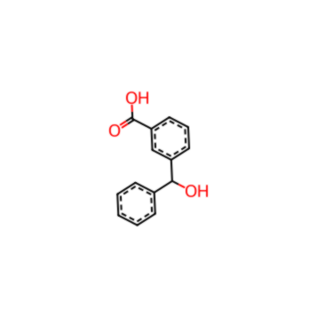 O=C(O)c1cccc(C(O)c2ccccc2)c1